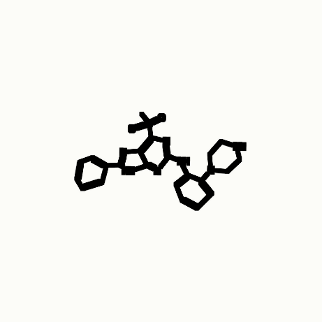 CS(=O)(=O)c1nc(Nc2ccccc2N2CCNCC2)nc2[nH]c(-c3ccccc3)nc12